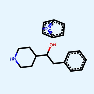 OC(Cc1ccccc1)C1CCNCC1.c1cc2ccc1[nH]2